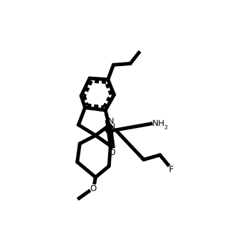 CCCc1ccc2c(c1)C1(N=C(N)N(CCF)C1=O)C1(CCC(OC)CC1)C2